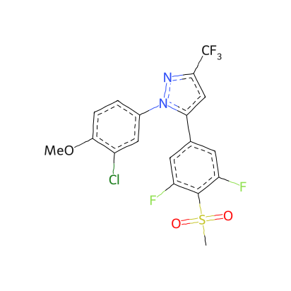 COc1ccc(-n2nc(C(F)(F)F)cc2-c2cc(F)c(S(C)(=O)=O)c(F)c2)cc1Cl